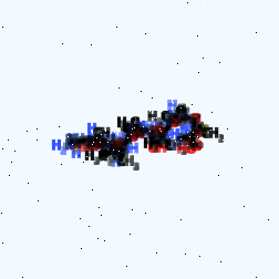 CC[C@H](C)[C@H](NC(=O)CNC(=O)[C@H](C)NC(=O)[C@@H]1CCCN1C(=O)CNC(=O)[C@H](CCSC)NC(=O)[C@H](CCC(=O)O)NC(=O)CN)C(=O)N1C[C@H](O)C[C@H]1C(=O)NCC(=O)N[C@@H](C)C(=O)N1CCC[C@H]1C(=O)NCC(=O)N[C@@H](CC(C)C)C(=O)N[C@@H](CC(C)C)C(=O)NCC(=O)N[C@@H](C)C(=O)N[C@@H](CCCNC(=N)N)C(=O)O